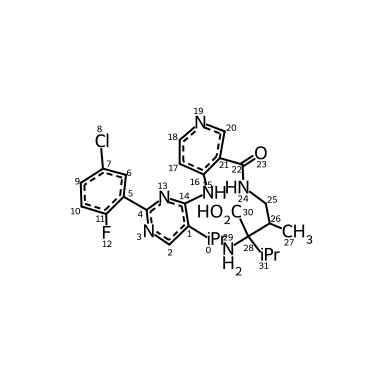 CC(C)c1cnc(-c2cc(Cl)ccc2F)nc1Nc1ccncc1C(=O)NCC(C)C(N)(C(=O)O)C(C)C